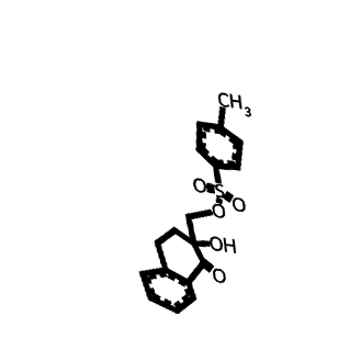 Cc1ccc(S(=O)(=O)OCC2(O)CCc3ccccc3C2=O)cc1